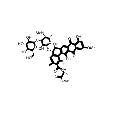 CN[C@H]1[C@@H](O[C@@H]2O[C@H](CO)[C@@H](O)[C@H](O)[C@H]2O)[C@H](O)[C@@H](O[C@H]2c3cc(C)c(C(=O)N[C@H](C)C(=O)OC)c(O)c3-c3c(cc4c(c3O)C(=O)c3cc(OC)cc(O)c3C4=O)[C@@H]2O)O[C@H]1C